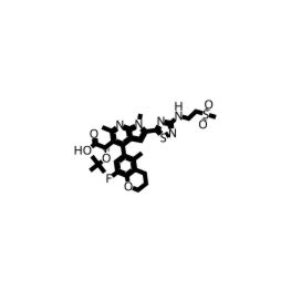 Cc1nc2c(cc(-c3nc(NCCS(C)(=O)=O)ns3)n2C)c(-c2cc(F)c3c(c2C)CCCO3)c1[C@H](OC(C)(C)C)C(=O)O